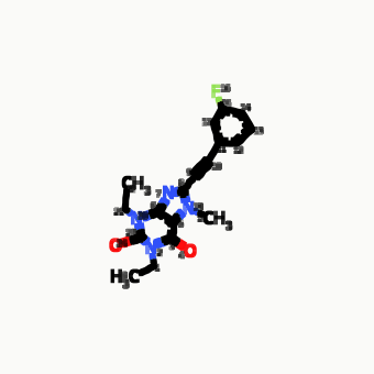 CCn1c(=O)c2c(nc(C#Cc3cccc(F)c3)n2C)n(CC)c1=O